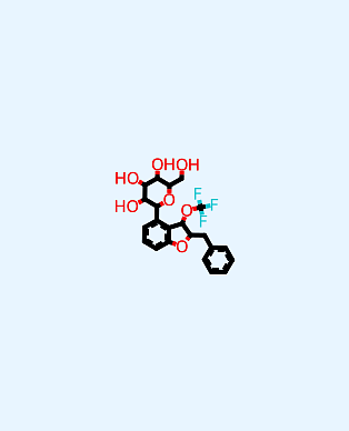 OCC1OC(c2cccc3c2C(OC(F)(F)F)C(Cc2ccccc2)O3)C(O)C(O)C1O